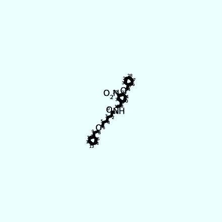 O=C(CCCCCOCCc1ccccc1)NCCc1ccc(OCc2ccccc2)c([N+](=O)[O-])c1